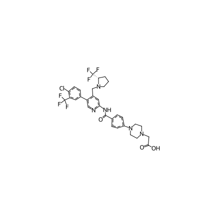 O=C(O)CN1CCN(c2ccc(C(=O)Nc3cc(CN4CCC[C@H]4C(F)(F)F)c(-c4ccc(Cl)c(C(F)(F)F)c4)cn3)cc2)CC1